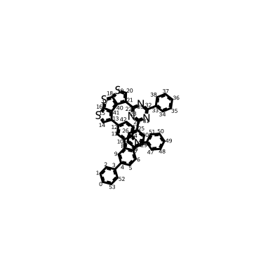 c1ccc(-c2ccc3c(c2)c2cc(-c4csc5sc6scc(-c7nc(-c8ccccc8)nc(-c8ccccc8)n7)c6c45)ccc2n3-c2ccccc2)cc1